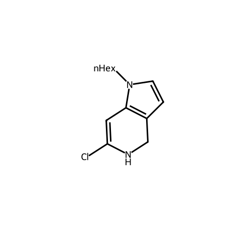 CCCCCCn1ccc2c1C=C(Cl)NC2